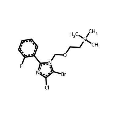 C[Si](C)(C)CCOCn1c(-c2ccccc2F)nc(Cl)c1Br